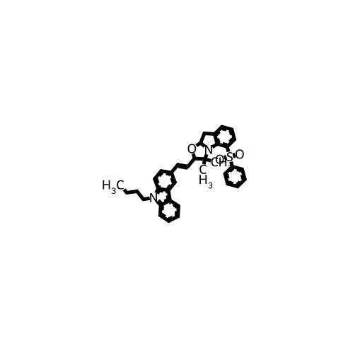 CCCCn1c2ccccc2c2cc(C=CC3OC4Cc5cccc(S(=O)(=O)c6ccccc6)c5N4C3(C)C)ccc21